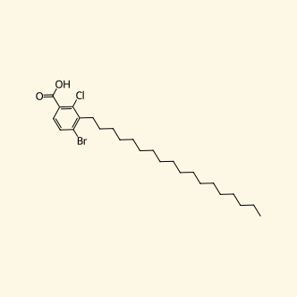 CCCCCCCCCCCCCCCCCCc1c(Br)ccc(C(=O)O)c1Cl